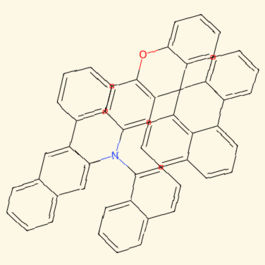 c1ccc(-c2cc3ccccc3cc2N(c2ccc3c(c2)C2(c4ccccc4O3)c3ccccc3-c3cccc4cccc2c34)c2cccc3ccccc23)cc1